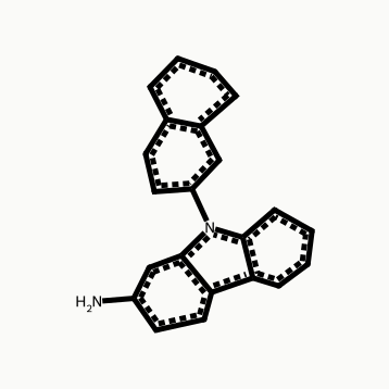 Nc1ccc2c3ccccc3n(-c3ccc4ccccc4c3)c2c1